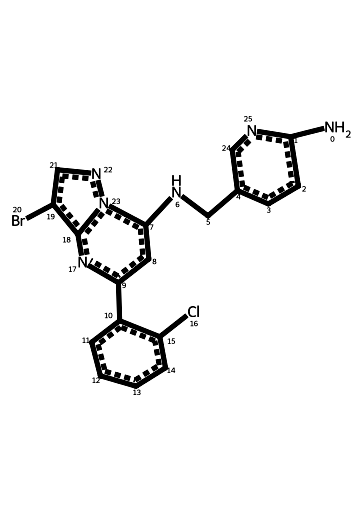 Nc1ccc(CNc2cc(-c3ccccc3Cl)nc3c(Br)cnn23)cn1